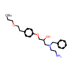 CC(C)COCCOCCc1ccc(OCC(O)CN(CCN)Cc2ccccc2)cc1